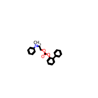 CN(CCOC(=O)Oc1ccccc1-c1ccccc1)c1ccccc1